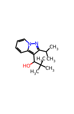 CC(C)c1nn2ccccc2c1C(O)C(C)(C)C